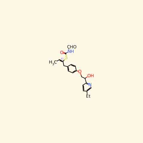 C/C=C(\Cc1ccc(OCC(O)c2ccc(CC)cn2)cc1)SC(=O)NC=O